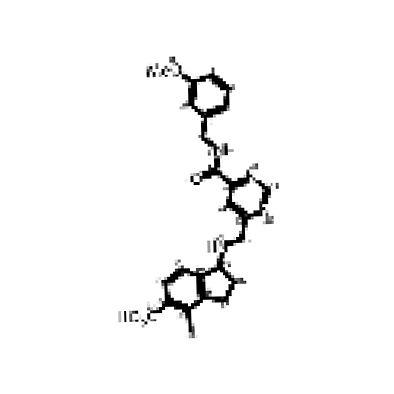 COc1cccc(CNC(=O)c2cc(CNC3CCc4c3ccc(C(=O)O)c4C)ncn2)c1